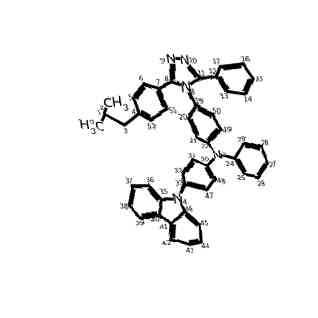 CC(C)Cc1ccc(-c2nnc(-c3ccccc3)n2-c2ccc(N(c3ccccc3)c3ccc(-n4c5ccccc5c5ccccc54)cc3)cc2)cc1